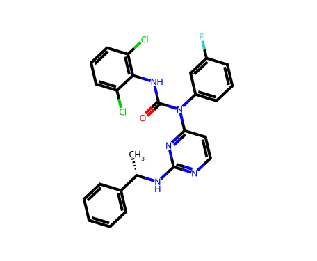 C[C@H](Nc1nccc(N(C(=O)Nc2c(Cl)cccc2Cl)c2cccc(F)c2)n1)c1ccccc1